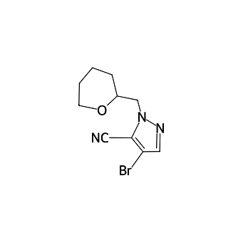 N#Cc1c(Br)cnn1CC1CCCCO1